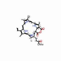 C=Cc1c(C)/c2[nH]/c1=C\C1=NC(=C\c3[nH]c4c(c3C)C(=O)OC(=O)C4C3N=C(/C=2)[C@@H](C)[C@@H]3CCC(=O)OC)/C(CC)=C1C